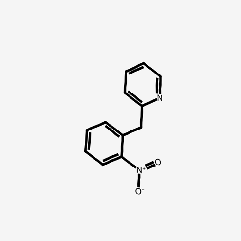 O=[N+]([O-])c1ccccc1Cc1ccccn1